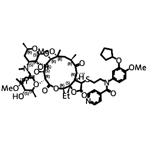 CC[C@H]1OC(=O)[C@H](C)[C@@H](O[C@H]2C[C@@](C)(OC)[C@@H](O)[C@H](C)O2)[C@H](C)[C@@H](O[C@@H]2O[C@H](C)C[C@H](N(C)CC(C)C)[C@H]2O)[C@](C)(OC)C[C@@H](C)C(=O)[C@H](C)[C@H]2C(SCCN(C(=O)c3ccncc3)c3ccc(OC)c(OC4CCCC4)c3)C(=O)O[C@@]21C